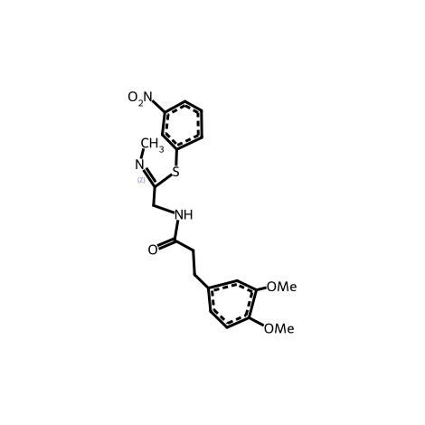 C/N=C(/CNC(=O)CCc1ccc(OC)c(OC)c1)Sc1cccc([N+](=O)[O-])c1